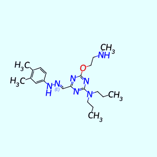 CCCN(CCC)c1nc(/C=N/Nc2ccc(C)c(C)c2)nc(OCCNC)n1